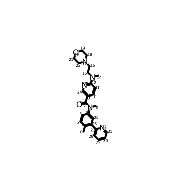 Cc1ccc(N(C)C(=O)c2ccc(N(C)CCN3CCOCC3)nc2)cc1-c1ccccn1